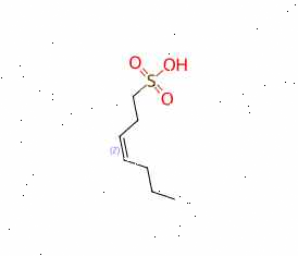 CCC/C=C\CCS(=O)(=O)O